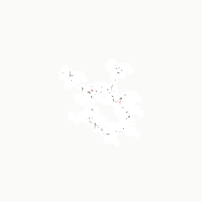 CCC(C)(O)CC(C)(COC(=O)OC(C)(CC)CCOCCC(C)(CC)OCCC(C)(C)OCCC(C)(CC)OC(=O)OCC(C)(CC(C)(O)CC)C(=O)OCCOC(=O)C1(C)CSSC1)C(=O)OCCOC(=O)C1(C)CSSC1